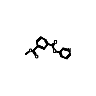 COC(=O)c1cccc(C(=O)Oc2cccnc2)c1